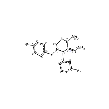 N/N=C1/C(c2cccc(F)c2)N(Cc2ccc(F)cc2)CCN1N